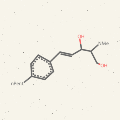 CCCCCc1ccc(C=CC(O)C(CO)NC)cc1